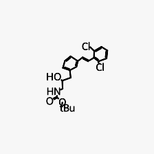 CC(C)(C)OC(=O)NCC(O)Cc1cccc(C=Cc2c(Cl)cccc2Cl)c1